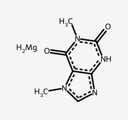 Cn1c(=O)[nH]c2ncn(C)c2c1=O.[MgH2]